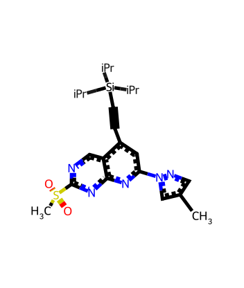 Cc1cnn(-c2cc(C#C[Si](C(C)C)(C(C)C)C(C)C)c3cnc(S(C)(=O)=O)nc3n2)c1